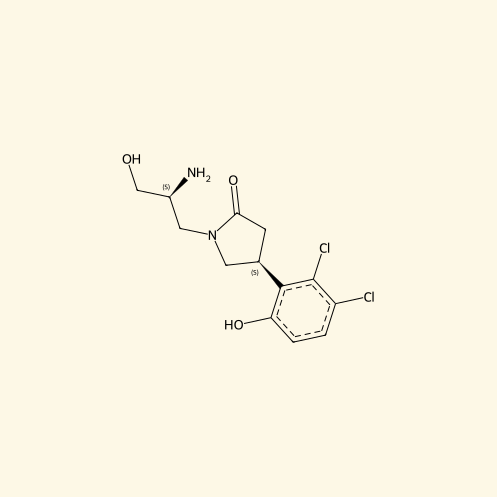 N[C@H](CO)CN1C[C@H](c2c(O)ccc(Cl)c2Cl)CC1=O